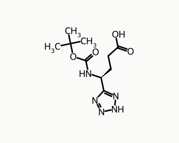 CC(C)(C)OC(=O)N[C@@H](CCC(=O)O)c1nn[nH]n1